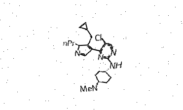 CCCC1N=CC(c2nc(N[C@H]3CC[C@H](NC)CC3)ncc2Cl)=C1CC1CC1